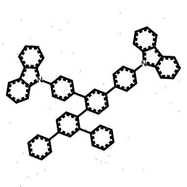 c1ccc(-c2ccc(-c3ccc(-c4ccc(-n5c6ccccc6c6ccccc65)cc4)cc3-c3ccc(-n4c5ccccc5c5ccccc54)cc3)c(-c3ccccc3)c2)cc1